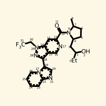 CCC(O)CC1CCC(C)N1C(=O)c1cc2c(cn1)c(-c1cnc3ccccn13)nn2CC(F)(F)F